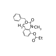 CCC(=O)Oc1cccc(C)c1N(C)C(=O)OCc1ccccc1